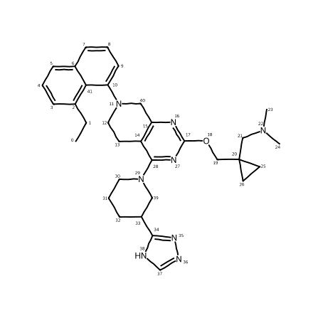 CCc1cccc2cccc(N3CCc4c(nc(OCC5(CN(C)C)CC5)nc4N4CCCC(c5nnc[nH]5)C4)C3)c12